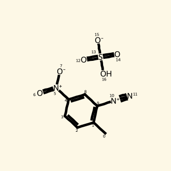 Cc1ccc([N+](=O)[O-])cc1[N+]#N.O=S(=O)([O-])O